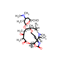 CC[C@H]1OC(=O)C(C)C(=O)[C@H](C)[C@@H](O[C@@H]2O[C@H](C=O)CC(N(C)C)[C@H]2C)[C@@]2(C)C[C@@H](C)CN(C)[C@H](C)[C@H]3N(C/C=C/CO2)C(=O)O[C@]13C